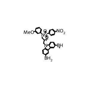 Bc1ccc2c(c1)c1cc(BC)ccc1n2CC(F)CN(c1cccc(OC)c1)S(=O)(=O)c1ccc([N+](=O)[O-])cc1